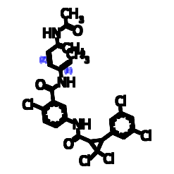 C=C(/C=C\C(=C/C)NC(=O)c1cc(NC(=O)C2C(c3cc(Cl)cc(Cl)c3)C2(Cl)Cl)ccc1Cl)NC(C)=O